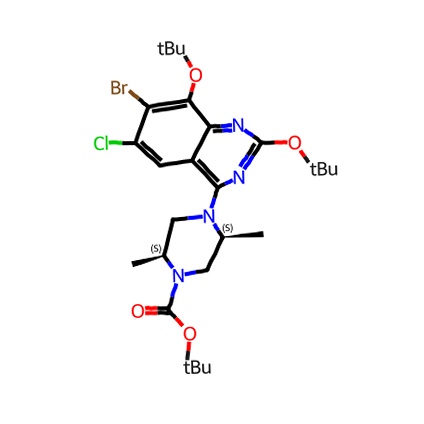 C[C@H]1CN(c2nc(OC(C)(C)C)nc3c(OC(C)(C)C)c(Br)c(Cl)cc23)[C@@H](C)CN1C(=O)OC(C)(C)C